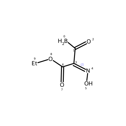 BC(=O)/C(=N/O)C(=O)OCC